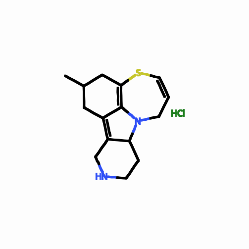 CC1CC2=C3C(=C4CNCCC4N3CC=CS2)C1.Cl